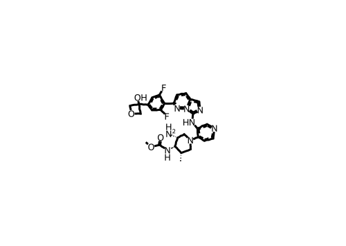 COC(=O)N[C@@H]1[C@H](N)CN(c2ccncc2Nc2ncc3ccc(-c4c(F)cc(C5(O)COC5)cc4F)nn23)C[C@@H]1C